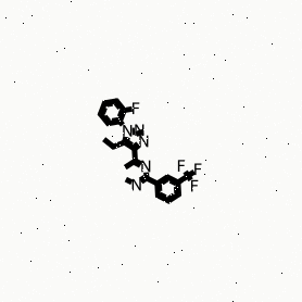 CCc1c(/C(C)=N/C(=N\C)c2cccc(C(F)(F)F)c2)nnn1-c1ccccc1F